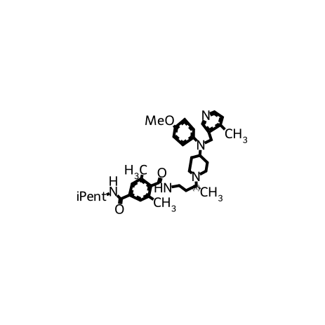 CCCC(C)NC(=O)c1cc(C)c(C(=O)NCC[C@@H](C)N2CCC(N(Cc3cnccc3C)c3ccc(OC)cc3)CC2)c(C)c1